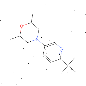 CC1CN(c2ccc(C(C)(C)C)nc2)CC(C)O1